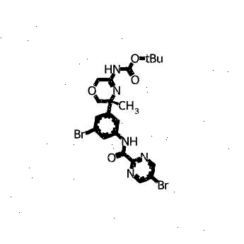 CC(C)(C)OC(=O)NC1=N[C@](C)(c2cc(Br)cc(NC(=O)c3ncc(Br)cn3)c2)COC1